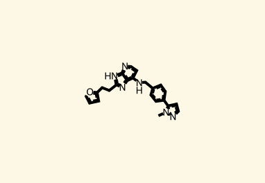 Cn1nccc1-c1ccc(CNc2ccnc3[nH]c(CCc4ccco4)nc23)cc1